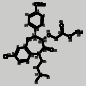 COc1ccc([C@H]2Sc3cc(Cl)ccc3N(CCN(C)C)C(=O)[C@H]2OCC(=O)OC(C)(C)C)cc1